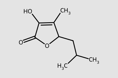 CC1=C(O)C(=O)OC1CC(C)C